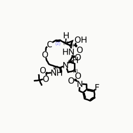 C=C1[C@@H](NC(=O)OC(C)(C)C)CCOCC/C=C\[C@@H]2C[C@@]2(C(=O)O)NC(=O)[C@@H]2C[C@@H](OC(=O)N3Cc4cccc(F)c4C3)CN12